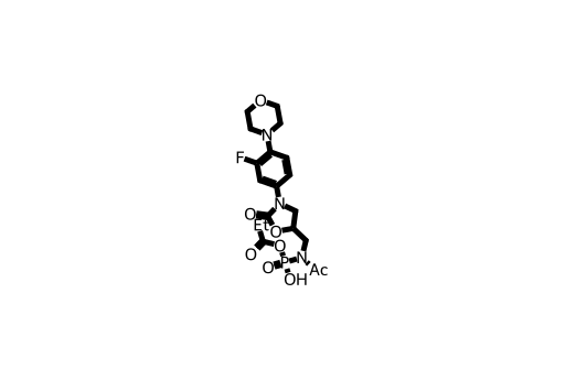 CCC(=O)OP(=O)(O)N(CC1CN(c2ccc(N3CCOCC3)c(F)c2)C(=O)O1)C(C)=O